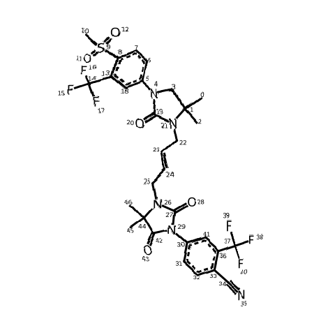 CC1(C)CN(c2ccc(S(C)(=O)=O)c(C(F)(F)F)c2)C(=O)N1CC=CCN1C(=O)N(c2ccc(C#N)c(C(F)(F)F)c2)C(=O)C1(C)C